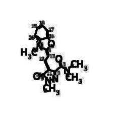 CN(C)C(=O)C1=NN(C)C(=O)/C1=C/C=C1/Oc2ccccc2N1C